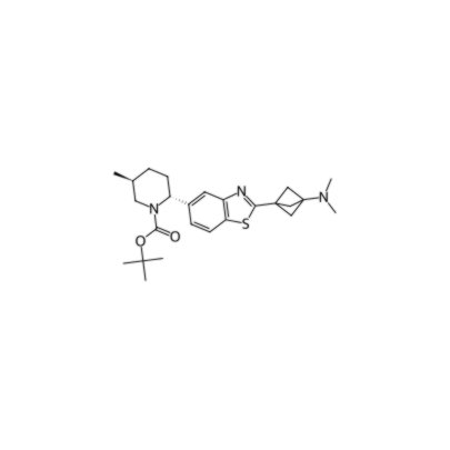 C[C@H]1CC[C@H](c2ccc3sc(C45CC(N(C)C)(C4)C5)nc3c2)N(C(=O)OC(C)(C)C)C1